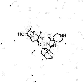 O=C(O)C(F)(F)F.O=C(O)C(F)(F)F.O=C1NC(C23CC4CC(CC(C4)C2)C3)=NC12CCNCC2